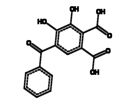 O=C(c1ccccc1)c1cc(C(=O)O)c(C(=O)O)c(O)c1O